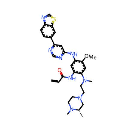 C=CC(=O)Nc1cc(Nc2cc(-c3ccc4ncsc4c3)ncn2)c(OC)cc1N(C)CCN1CCN(C)[C@@H](C)C1